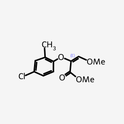 CO/C=C(/Oc1ccc(Cl)cc1C)C(=O)OC